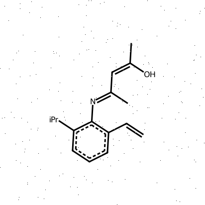 C=Cc1cccc(C(C)C)c1/N=C(C)/C=C(/C)O